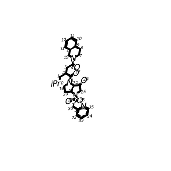 CC(C)CC(CC(=O)N1CCC2C=CC=CC2C1)C(=O)N1CCC2C1C(=O)CN2S(=O)(=O)Cc1ccccn1